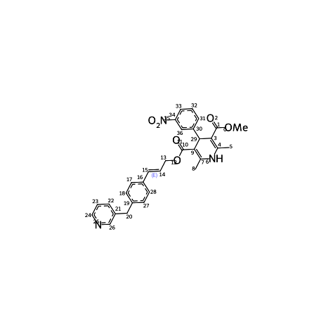 COC(=O)C1=C(C)NC(C)=C(C(=O)OC/C=C/c2ccc(Cc3cccnc3)cc2)C1c1cccc([N+](=O)[O-])c1